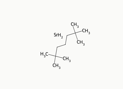 CC(C)(C)CCCC(C)(C)C.[SrH2]